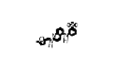 Cc1ccc(CNc2ccc3c(Nc4cccc(S(C)(=O)=O)c4)cccc3n2)o1